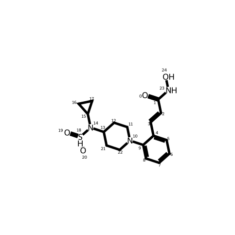 O=C(/C=C/c1ccccc1N1CCC(N(C2CC2)[SH](=O)=O)CC1)NO